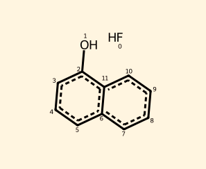 F.Oc1cccc2ccccc12